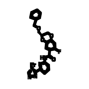 CC(C)n1cnnc1-c1cccc(NC(=O)c2cc3c(cc2F)OC[C@H](COCc2ccccc2)O3)n1